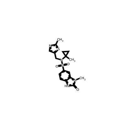 Cc1ncc(CN(C2(C)CC2)S(=O)(=O)c2ccc3[nH]c(=O)n(C)c3c2)s1